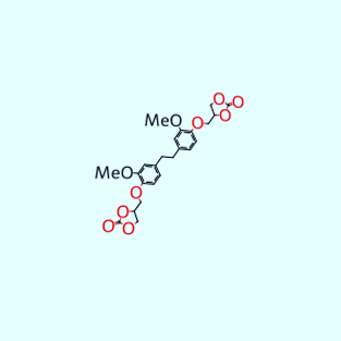 COc1cc(CCc2ccc(OCC3COC(=O)O3)c(OC)c2)ccc1OCC1COC(=O)O1